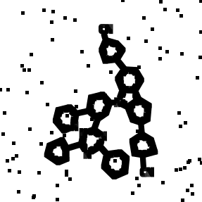 N#Cc1ccc(-c2ccc3c4ccc(-c5ccc(C#N)cc5)cc4n(-c4ccc(-c5ccccn5)c(-c5nc(-c6ccccc6)nc(-c6ccccc6)n5)c4)c3c2)cc1